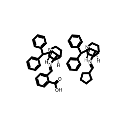 C(=N\[C@@H]1C2CCN(CC2)[C@H]1C(c1ccccc1)c1ccccc1)/C1CCCC1.O=C(O)c1ccccc1/C=N/[C@@H]1C2CCN(CC2)[C@H]1C(c1ccccc1)c1ccccc1